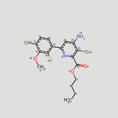 CCCCOC(=O)c1nc(-c2ccc(Cl)c(OC)c2F)cc(N)c1Cl